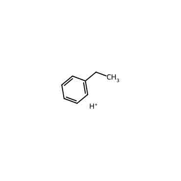 CCc1ccccc1.[H+]